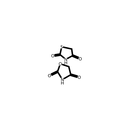 O=C1COC(=O)N1.O=C1CSC(=O)N1